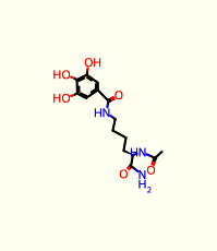 CC(=O)N[C@H](CCCCNC(=O)c1cc(O)c(O)c(O)c1)C(N)=O